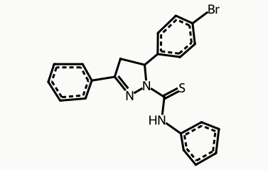 S=C(Nc1ccccc1)N1N=C(c2ccccc2)CC1c1ccc(Br)cc1